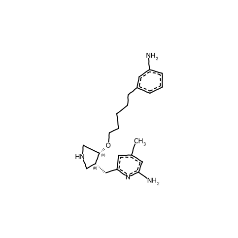 Cc1cc(N)nc(C[C@@H]2CNC[C@@H]2OCCCCCc2cccc(N)c2)c1